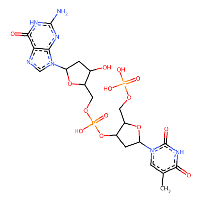 Cc1cn(C2CC(OP(=O)(O)OCC3OC(n4cnc5c(=O)[nH]c(N)nc54)CC3O)C(COP(=O)(O)O)O2)c(=O)[nH]c1=O